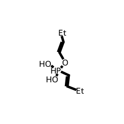 CCC=CO[PH](O)(O)C=CCC